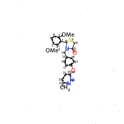 COc1cccc(OC)c1C1SCC(=O)N1Cc1ccc(Oc2ccc(C)nn2)cc1